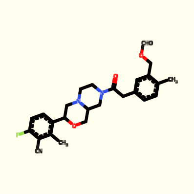 Cc1ccc(CC(=O)N2CCN3CC(c4ccc(F)c(C#N)c4C)OCC3C2)cc1COC=O